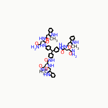 Cc1[nH]c2ccccc2c1CC(=O)N[C@@H](CCC(N)=O)C(=O)Nc1ccc(C(c2ccc(NC(=O)[C@H](CCC(N)=O)NC(=O)Cc3c(C)[nH]c4ccccc34)cc2)c2ccc(NC(=O)[C@H](CCC(N)=O)NC(=O)Cc3c(C)[nH]c4ccccc34)cc2)cc1